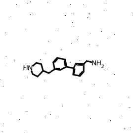 NCc1cccc(-c2cccc(CC3CCNCC3)c2)c1